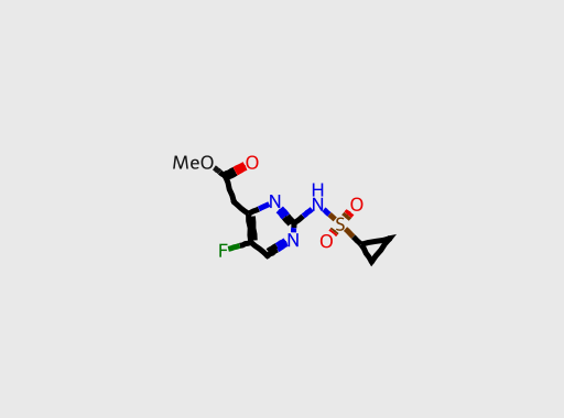 COC(=O)Cc1nc(NS(=O)(=O)C2CC2)ncc1F